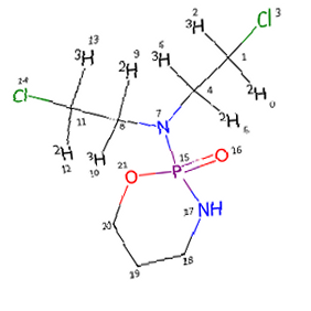 [2H]C([3H])(Cl)C([2H])([3H])N(C([2H])([3H])C([2H])([3H])Cl)P1(=O)NCCCO1